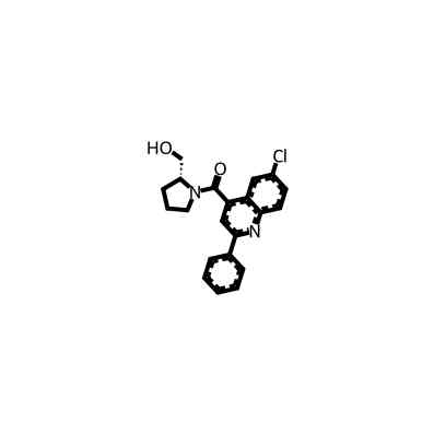 O=C(c1cc(-c2ccccc2)nc2ccc(Cl)cc12)N1CCC[C@@H]1CO